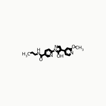 CCCNC(=O)c1ccc(-n2ncc(-c3ccnc(OC)c3)c2O)nc1